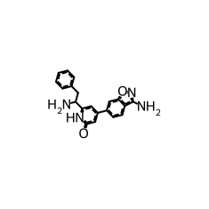 Nc1noc2cc(-c3cc(C(N)Cc4ccccc4)[nH]c(=O)c3)ccc12